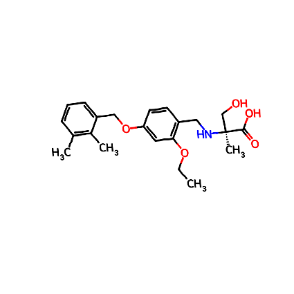 CCOc1cc(OCc2cccc(C)c2C)ccc1CN[C@@](C)(CO)C(=O)O